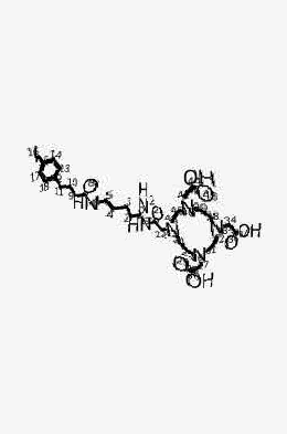 N[C@H](CCCCNC(=O)CCCc1ccc(I)cc1)NC(=O)CN1CCN(CC(=O)O)CCN(CC(=O)O)CCN(CC(=O)O)CC1